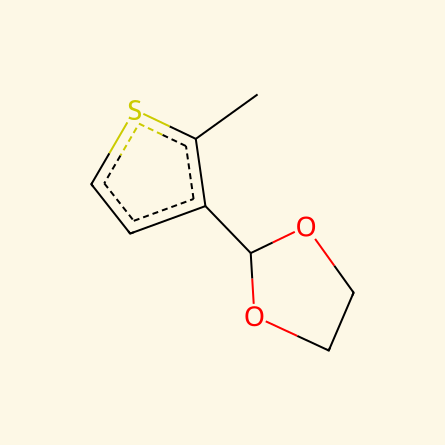 Cc1sccc1C1OCCO1